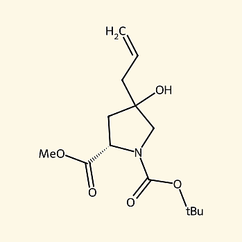 C=CCC1(O)C[C@@H](C(=O)OC)N(C(=O)OC(C)(C)C)C1